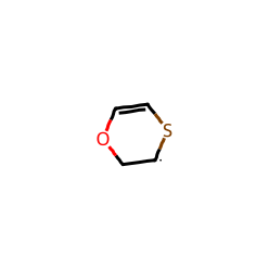 [CH]1COC=CS1